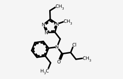 CCc1ccccc1N(Cc1nnc(CC)n1C)C(=O)C(Cl)CC